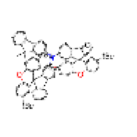 CC(C)(C)c1ccc2c(c1)C1(c3cc(C(C)(C)C)ccc3O2)c2ccccc2-c2ccc(N(c3ccc4c(c3)C(C)(C)c3ccccc3-4)c3ccc4c(c3)C3(c5cc(C(C)(C)C)ccc5Oc5ccc(C(C)(C)C)cc53)c3ccccc3-4)cc21